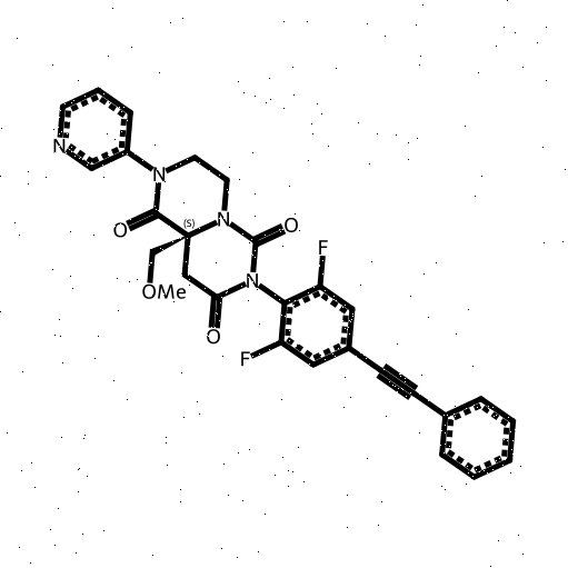 COC[C@]12CC(=O)N(c3c(F)cc(C#Cc4ccccc4)cc3F)C(=O)N1CCN(c1cccnc1)C2=O